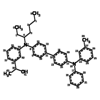 CCCCC(CC)N(c1ccc(-c2ccc(N(c3ccccc3)c3cccc(C)c3)cc2)cc1)c1cccc(C(C)O)c1